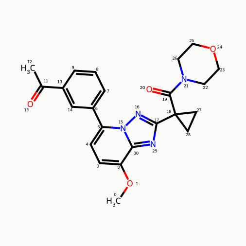 COc1ccc(-c2cccc(C(C)=O)c2)n2nc(C3(C(=O)N4CCOCC4)CC3)nc12